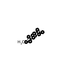 Cc1ccc2c(c1)sc1c(N(c3ccccc3)c3ccc4ccc5c(N(c6ccccc6)c6cccc7c6sc6ccccc67)ccc6ccc3c4c65)cccc12